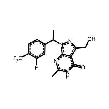 Cc1nc2c(c(CO)nn2C(C)c2ccc(C(F)(F)F)c(F)c2)c(=O)[nH]1